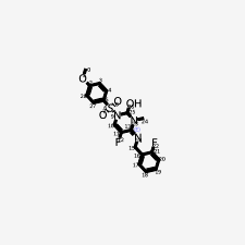 COc1ccc(S(=O)(=O)N2C=C(F)/C(=N\Cc3ccccc3F)N(C)C2O)cc1